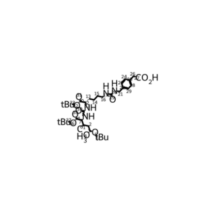 CC(CC(=O)OC(C)(C)C)[C@H](NC(=O)N[C@@H](CCCCNC(=O)NCc1ccc(CC(=O)O)cc1)C(=O)OC(C)(C)C)C(=O)OC(C)(C)C